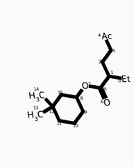 CCC(CCC(C)=O)C(=O)OC1CCCC(C)(C)C1